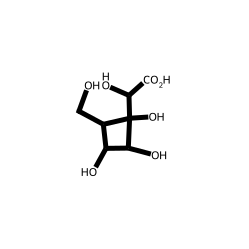 O=C(O)C(O)C1(O)C(O)C(O)C1CO